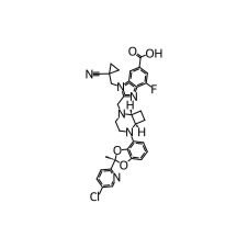 C[C@]1(c2ccc(Cl)cn2)Oc2cccc(N3CCN(Cc4nc5c(F)cc(C(=O)O)cc5n4CC4(C#N)CC4)[C@@H]4CC[C@@H]43)c2O1